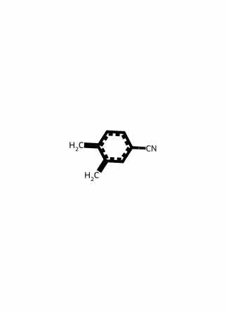 C=c1ccc(C#N)cc1=C